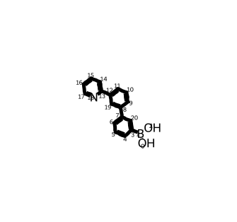 OB(O)c1cccc(-c2cccc(-c3ccccn3)c2)c1